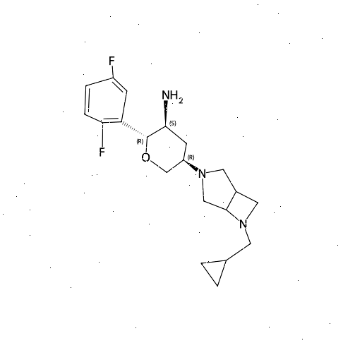 N[C@H]1C[C@@H](N2CC3CN(CC4CC4)C3C2)CO[C@@H]1c1cc(F)ccc1F